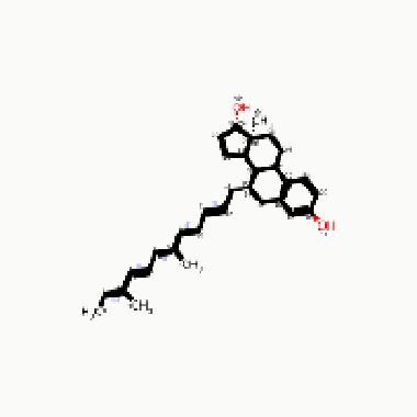 C/C=C(C)/C=C/C=C(C)/C=C/C=C/C[C@@H]1Cc2cc(O)ccc2C2CC[C@@]3(C)C(CC[C@@H]3O)C21